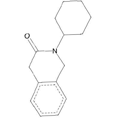 O=C1Cc2ccccc2CN1C1CCCCC1